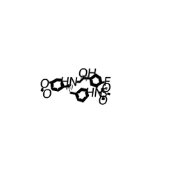 CS(=O)(=O)Nc1cc([C@@H](O)CN[C@H](Cc2ccccc2)c2ccc3c(c2)OCO3)ccc1F